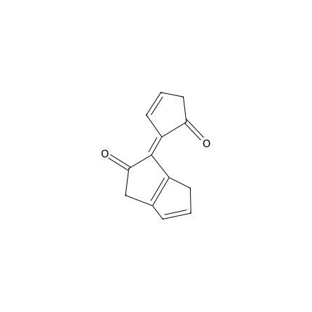 O=C1CC=C/C1=C1\C(=O)CC2=C1CC=C2